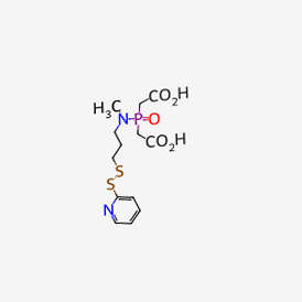 CN(CCCSSc1ccccn1)P(=O)(CC(=O)O)CC(=O)O